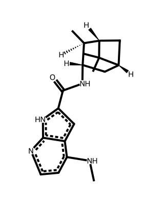 CNc1ccnc2[nH]c(C(=O)N[C@H]3C[C@H]4C[C@@H]([C@@H]3C)C4(C)C)cc12